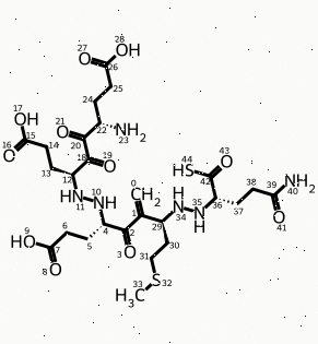 C=C(C(=O)[C@H](CCC(=O)O)NN[C@@H](CCC(=O)O)C(=O)C(=O)[C@@H](N)CCC(=O)O)[C@H](CCSC)NN[C@@H](CCC(N)=O)C(=O)S